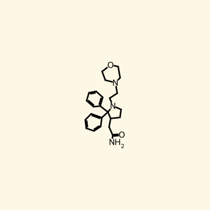 NC(=O)CC1CCN(CCN2CCOCC2)C1(c1ccccc1)c1ccccc1